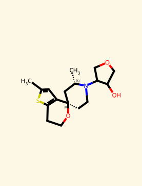 Cc1cc2c(s1)CCO[C@@]21CCN(C2COCC2O)[C@@H](C)C1